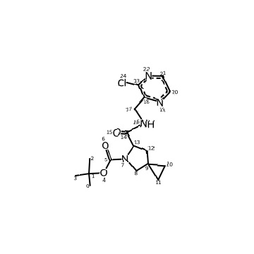 CC(C)(C)OC(=O)N1CC2(CC2)CC1C(=O)NCc1nccnc1Cl